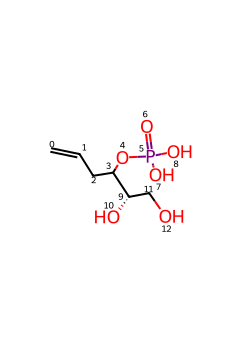 C=CCC(OP(=O)(O)O)[C@@H](O)CO